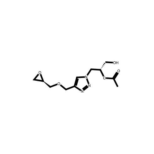 CC(=O)O[C@@H](CO)Cn1cc(COC[C@H]2CO2)nn1